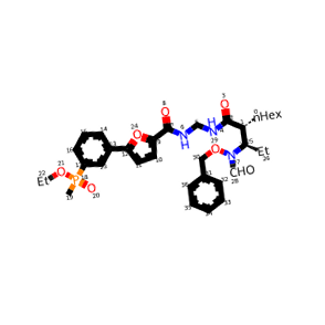 CCCCCC[C@@H](C(=O)NCNC(=O)c1ccc(-c2cccc(P(C)(=O)OCC)c2)o1)[C@@H](CC)N(C=O)OCc1ccccc1